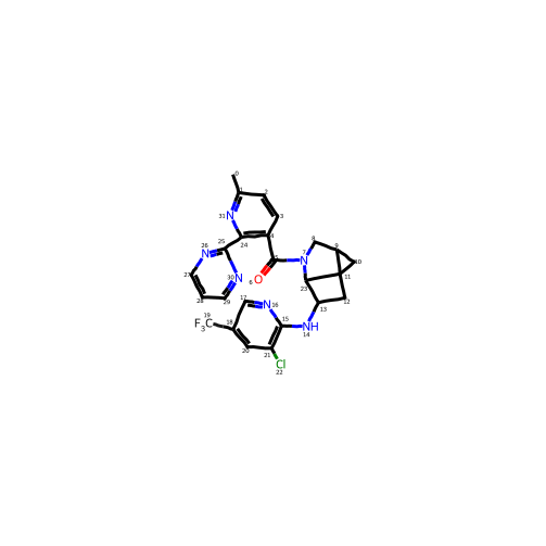 Cc1ccc(C(=O)N2CC3CC34CC(Nc3ncc(C(F)(F)F)cc3Cl)C24)c(-c2ncccn2)n1